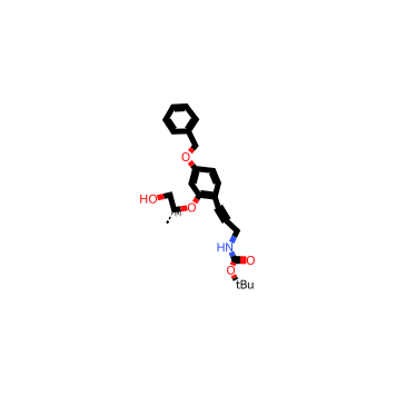 C[C@H](CO)Oc1cc(OCc2ccccc2)ccc1C#CCNC(=O)OC(C)(C)C